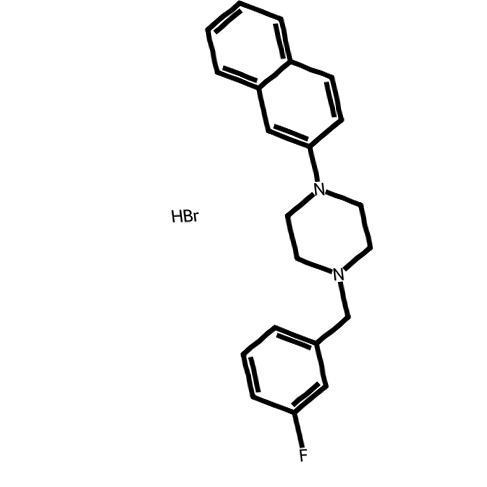 Br.Fc1cccc(CN2CCN(c3ccc4ccccc4c3)CC2)c1